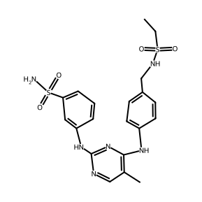 CCS(=O)(=O)NCc1ccc(Nc2nc(Nc3cccc(S(N)(=O)=O)c3)ncc2C)cc1